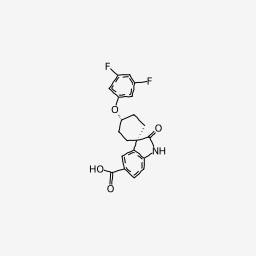 O=C(O)c1ccc2c(c1)[C@]1(CC[C@@H](Oc3cc(F)cc(F)c3)CC1)C(=O)N2